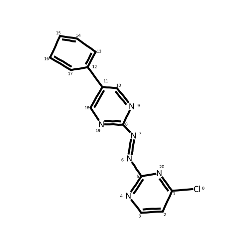 Clc1ccnc(N=Nc2ncc(-c3ccccc3)cn2)n1